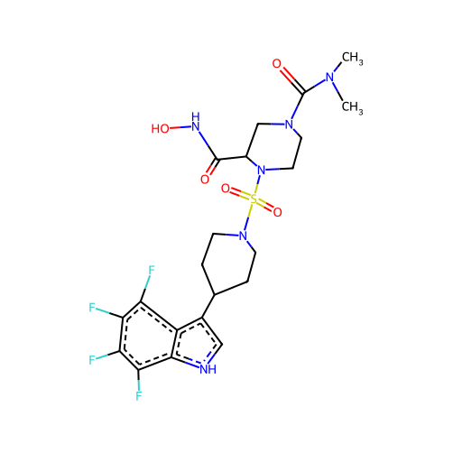 CN(C)C(=O)N1CCN(S(=O)(=O)N2CCC(c3c[nH]c4c(F)c(F)c(F)c(F)c34)CC2)C(C(=O)NO)C1